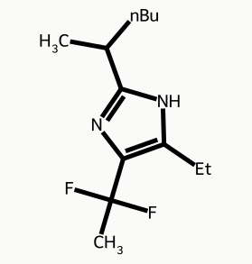 CCCCC(C)c1nc(C(C)(F)F)c(CC)[nH]1